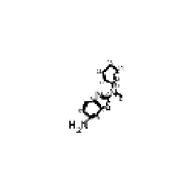 CN(c1nc2ccc(N)cc2s1)C1CCCCC1